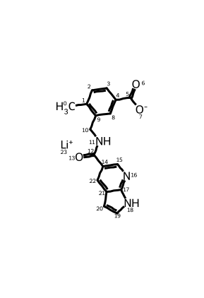 Cc1ccc(C(=O)[O-])cc1CNC(=O)c1cnc2[nH]ccc2c1.[Li+]